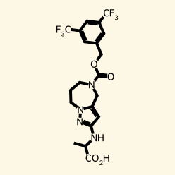 CC(Nc1cc2n(n1)CCCN(C(=O)OCc1cc(C(F)(F)F)cc(C(F)(F)F)c1)C2)C(=O)O